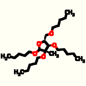 CCCCCOC[C@H]1OC(OCCCCC)[C@](C)(OCCCCC)[C@@H]1OCCCCC